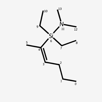 CCC/C=C(/C)[Si](CC)(CC)N(C)C